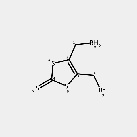 BCc1sc(=S)sc1CBr